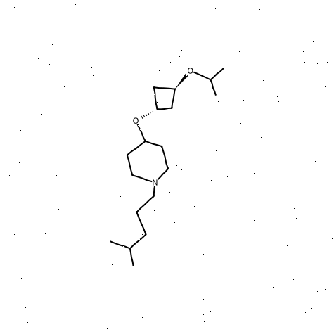 CC(C)CCCN1CCC(O[C@H]2C[C@H](OC(C)C)C2)CC1